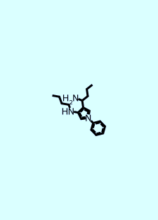 CCCCNc1cn(-c2ccccc2)cc1C(N)CCC